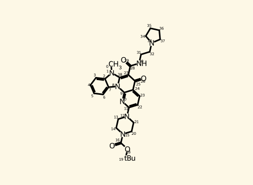 Cn1c2ccccc2n2c3nc(N4CCN(C(=O)OC(C)(C)C)CC4)ccc3c(=O)c(C(=O)NCCN3CCCC3)c12